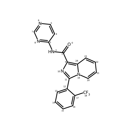 O=C(Nc1ccncn1)c1nc(-c2ccccc2C(F)(F)F)n2ccccc12